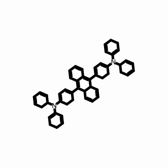 C1=CCC(N(C2=CCCC=C2)C2=CC=C(C3=c4ccccc4=C(C4=CC=C(N(C5=CCCC=C5)C5C=CC=CC5)CC4)C4C=CC=CC34)CC2)C=C1